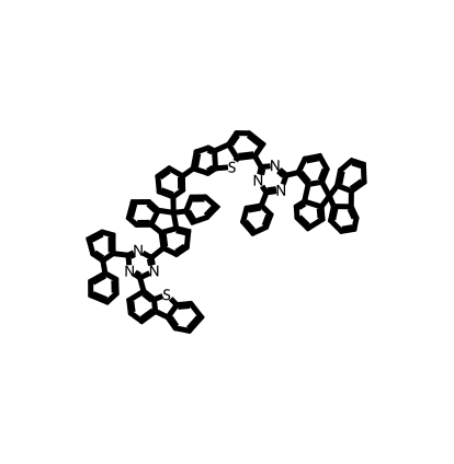 c1ccc(-c2nc(-c3cccc4c3-c3ccccc3C43c4ccccc4-c4ccccc43)nc(-c3cccc4c3sc3cc(-c5cccc(C6(c7ccccc7)c7ccccc7-c7c(-c8nc(-c9ccccc9-c9ccccc9)nc(-c9cccc%10c9sc9ccccc9%10)n8)cccc76)c5)ccc34)n2)cc1